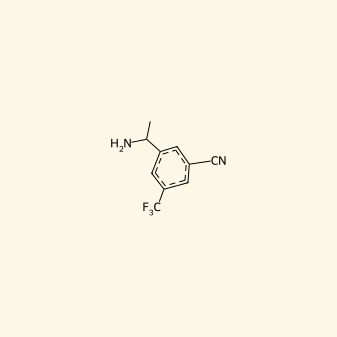 CC(N)c1cc(C#N)cc(C(F)(F)F)c1